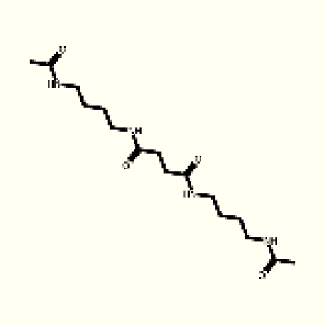 CC(=O)NCCCCNC(=O)CCC(=O)NCCCCNC(C)=O